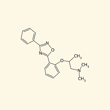 CC(CN(C)C)Oc1ccccc1-c1nc(-c2ccccc2)no1